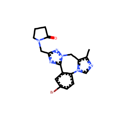 Cc1ncn2c1Cn1nc(CN3CCCC3=O)nc1-c1cc(Br)ccc1-2